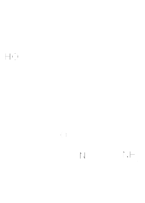 Nc1noc2c1CCc1ccc(O)cc1-2